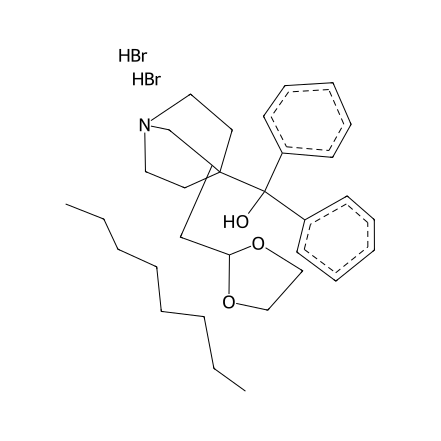 Br.Br.CCCCCCCC.OC(c1ccccc1)(c1ccccc1)C12CCN(CC1)CC2CC1OCCO1